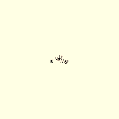 [K].[Li].[Mg].[Na]